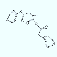 C=C(CC(=O)Oc1ccc(C)cc1)C(=O)OCC(=O)Cc1ccccc1